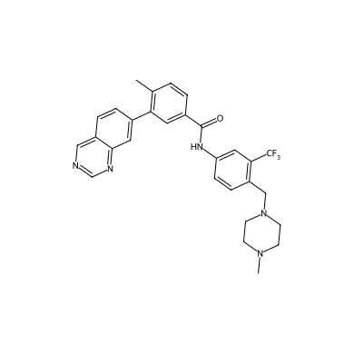 Cc1ccc(C(=O)Nc2ccc(CN3CCN(C)CC3)c(C(F)(F)F)c2)cc1-c1ccc2cncnc2c1